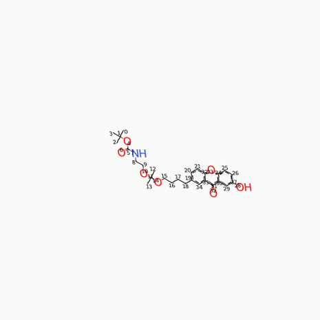 CC(C)(C)OC(=O)NCCOC(C)(C)OCCCCc1ccc2oc3ccc(O)cc3c(=O)c2c1